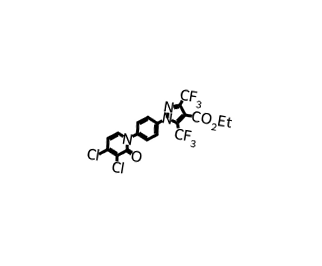 CCOC(=O)c1c(C(F)(F)F)nn(-c2ccc(-n3ccc(Cl)c(Cl)c3=O)cc2)c1C(F)(F)F